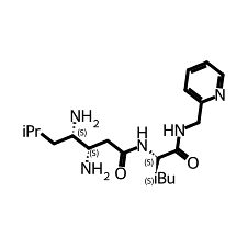 CC[C@H](C)[C@H](NC(=O)C[C@H](N)[C@@H](N)CC(C)C)C(=O)NCc1ccccn1